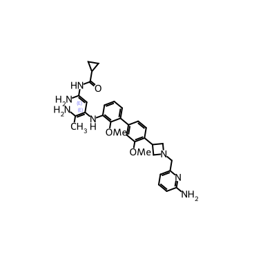 COc1cc(-c2cccc(NC(/C=C(\N)NC(=O)C3CC3)=C(\C)N)c2OC)ccc1C1CN(Cc2cccc(N)n2)C1